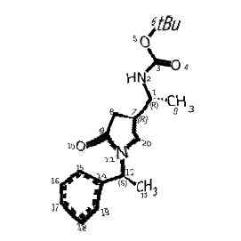 C[C@@H](NC(=O)OC(C)(C)C)[C@@H]1CC(=O)N([C@@H](C)c2ccccc2)C1